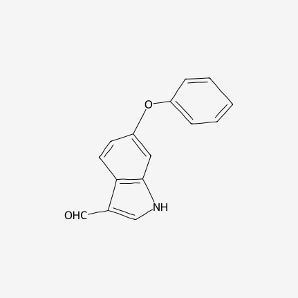 O=Cc1c[nH]c2cc(Oc3ccccc3)ccc12